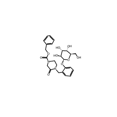 O=C1CN(C(=O)OCc2ccccc2)CCN1Cc1ccccc1O[C@@H]1O[C@H](CO)[C@@H](O)[C@@H](O)[C@@H]1O